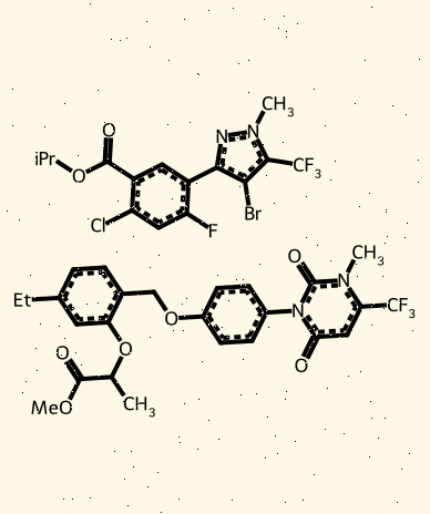 CC(C)OC(=O)c1cc(-c2nn(C)c(C(F)(F)F)c2Br)c(F)cc1Cl.CCc1ccc(COc2ccc(-n3c(=O)cc(C(F)(F)F)n(C)c3=O)cc2)c(OC(C)C(=O)OC)c1